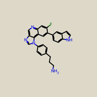 NCCCc1ccc(-n2cnc3cnc4cc(F)c(-c5ccc6[nH]ccc6c5)cc4c32)cc1